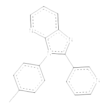 Cc1ccc(-n2c(-c3cccnc3)nc3cccnc32)cc1